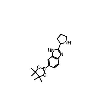 CC1(C)OB(c2ccc3nc(C4CCCN4)[nH]c3c2)OC1(C)C